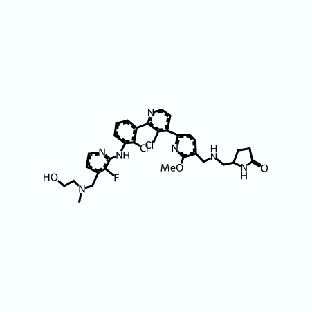 COc1nc(-c2ccnc(-c3cccc(Nc4nccc(CN(C)CCO)c4F)c3Cl)c2Cl)ccc1CNCC1CCC(=O)N1